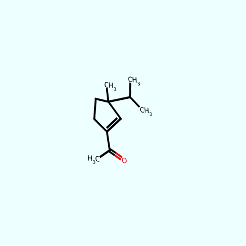 CC(=O)C1=CC(C)(C(C)C)CC1